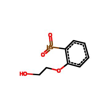 O=[SH](=O)c1ccccc1OCCO